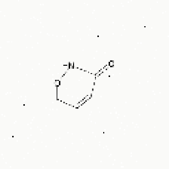 O=C1[C]=CCON1